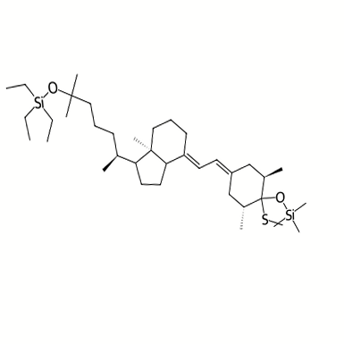 CC[Si](CC)(CC)OC(C)(C)CCC[C@H](C)C1CCC2/C(=C/C=C3C[C@@H](C)C(O[Si](C)(C)C)(SC)[C@H](C)C3)CCC[C@@]21C